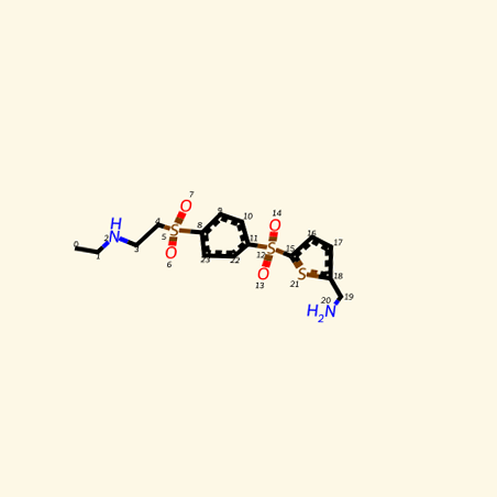 CCNCCS(=O)(=O)c1ccc(S(=O)(=O)c2ccc(CN)s2)cc1